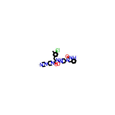 Cc1cc(CC(NC(=O)N2CCC(N3Cc4ccccc4NC3=O)CC2)C(=O)N2CCC(N3CC[N]CC3)CC2)ccc1Cl